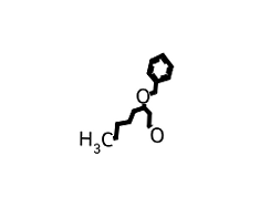 CCCCCC(CC=O)OCc1ccccc1